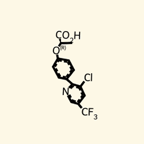 C[C@@H](Oc1ccc(-c2ncc(C(F)(F)F)cc2Cl)cc1)C(=O)O